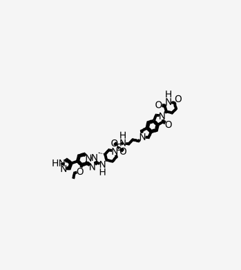 CCOc1c(-c2cn[nH]c2)ccn2nc(N[C@H]3CCN(S(=O)(=O)NCCCN4Cc5cc6c(cc5C4)C(=O)N(C4CCC(=O)NC4=O)C6)C[C@H]3C)nc12